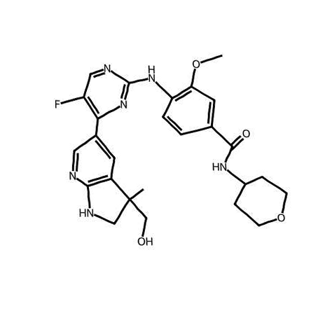 COc1cc(C(=O)NC2CCOCC2)ccc1Nc1ncc(F)c(-c2cnc3c(c2)C(C)(CO)CN3)n1